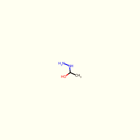 CC(O)NN